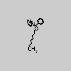 CCCCCCCCOC(c1ccccc1)n1ccnc1